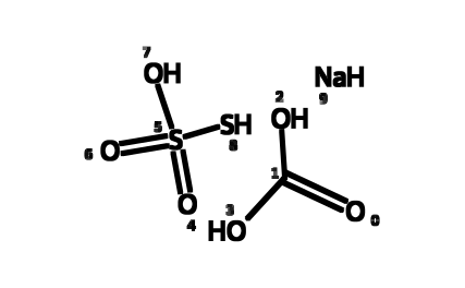 O=C(O)O.O=S(=O)(O)S.[NaH]